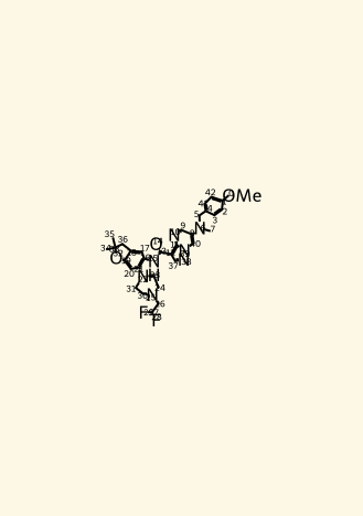 COc1ccc(CN(C)c2cnc3c(C(=O)Nc4cc5c(cc4N4CCN(CC(F)F)CC4)OC(C)(C)C5)cnn3c2)cc1